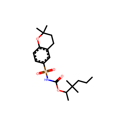 CCCC(C)(C)C(C)OC(=O)NS(=O)(=O)c1ccc2c(c1)CCC(C)(C)O2